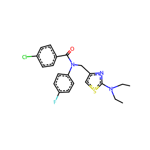 CCN(CC)c1nc(CN(C(=O)c2ccc(Cl)cc2)c2ccc(F)cc2)cs1